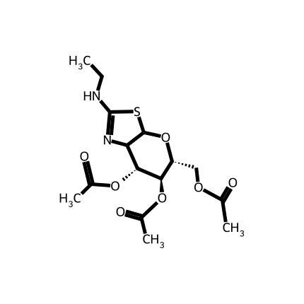 CCNC1=NC2C(O[C@H](COC(C)=O)[C@@H](OC(C)=O)[C@@H]2OC(C)=O)S1